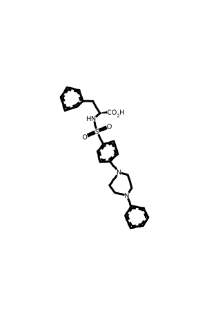 O=C(O)[C@H](Cc1ccccc1)NS(=O)(=O)c1ccc(N2CCN(c3ccccc3)CC2)cc1